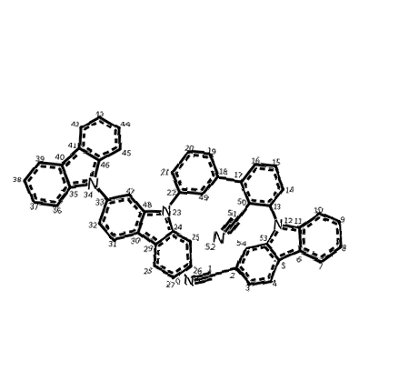 N#Cc1ccc2c3ccccc3n(-c3cccc(-c4cccc(-n5c6ccccc6c6ccc(-n7c8ccccc8c8ccccc87)cc65)c4)c3C#N)c2c1